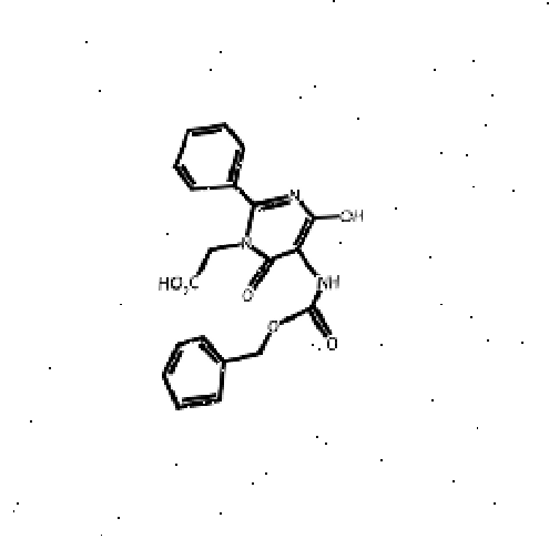 O=C(O)Cn1c(-c2ccccc2)nc(O)c(NC(=O)OCc2ccccc2)c1=O